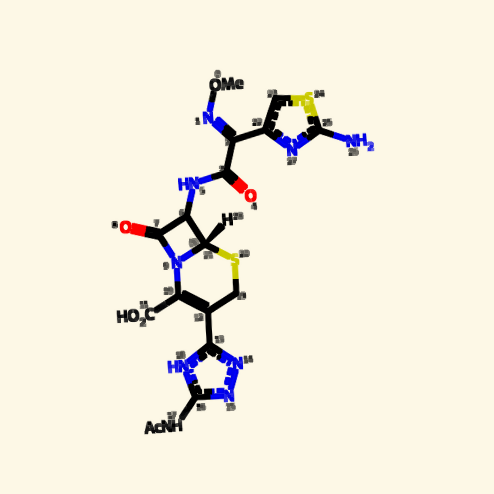 CON=C(C(=O)NC1C(=O)N2C(C(=O)O)=C(c3nnc(NC(C)=O)[nH]3)CS[C@@H]12)c1csc(N)n1